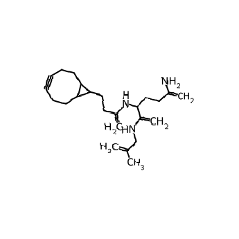 C=C(C)CNC(=C)C(CCC(=C)N)NC(=C)CCC1C2CCC#CCCC21